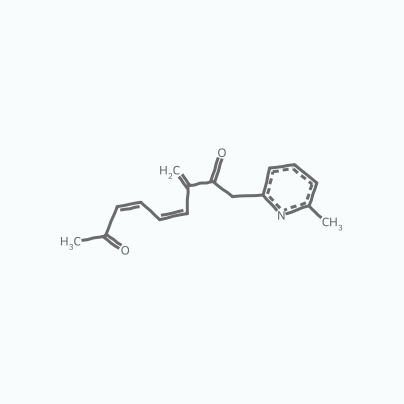 C=C(/C=C\C=C/C(C)=O)C(=O)Cc1cccc(C)n1